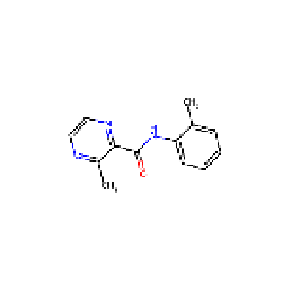 Cc1ccccc1NC(=O)c1nccnc1C